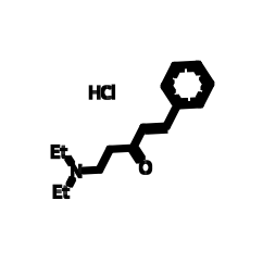 CCN(CC)CCC(=O)C=Cc1ccccc1.Cl